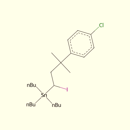 CCC[CH2][Sn]([CH2]CCC)([CH2]CCC)[CH](I)CC(C)(C)c1ccc(Cl)cc1